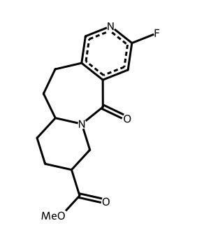 COC(=O)C1CCC2CCc3cnc(F)cc3C(=O)N2C1